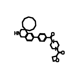 O=C(c1ccc(-c2ccc3c(c2)C2(CCCCCCCCC2)CNC3)cc1)N1CCN(C(=O)C2CCO2)CC1